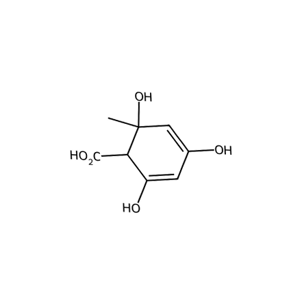 CC1(O)C=C(O)C=C(O)C1C(=O)O